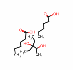 CCC(O)(CC)C(C)O.CCCCCC(=O)O.CCCCCC(=O)O